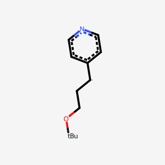 CC(C)(C)OCC[CH]c1ccncc1